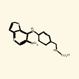 O=C(O)NCC1CCC(Nc2c([N+](=O)[O-])cnc3ccsc23)CC1